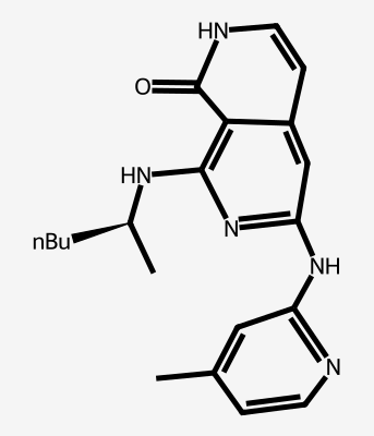 CCCC[C@H](C)Nc1nc(Nc2cc(C)ccn2)cc2cc[nH]c(=O)c12